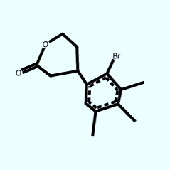 Cc1cc(C2CCOC(=O)C2)c(Br)c(C)c1C